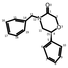 O=C1CO[C@@H](c2cc[c]cc2)CN1Cc1ccccc1